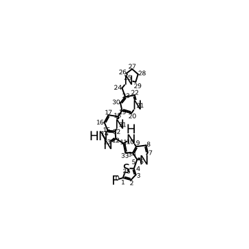 Fc1ccc(-c2nccc3[nH]c(-c4n[nH]c5ccc(-c6cncc(CN7CCCC7)c6)nc45)cc23)s1